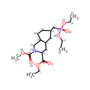 CCOC(=O)C1CC2CC(CP(=O)(OCC)OCC)CCC2CN1C(=O)OC